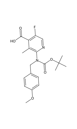 COc1ccc(CN(C(=O)OC(C)(C)C)c2ncc(F)c(C(=O)O)c2C)cc1